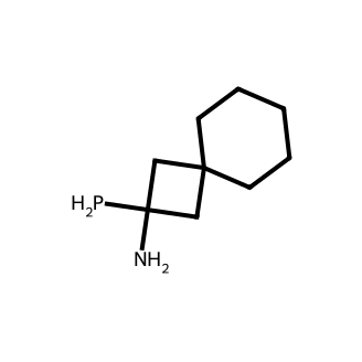 NC1(P)CC2(CCCCC2)C1